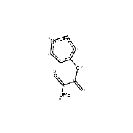 C=C(Oc1ccncc1)C(=O)OC